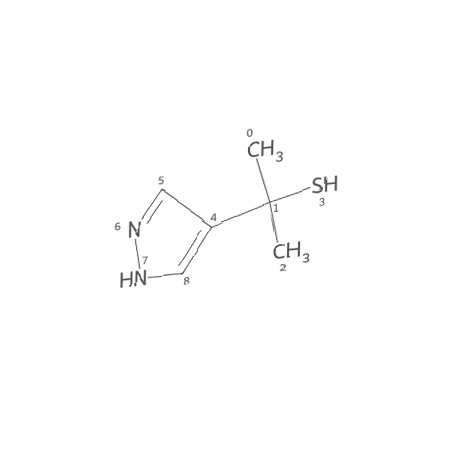 CC(C)(S)c1cn[nH]c1